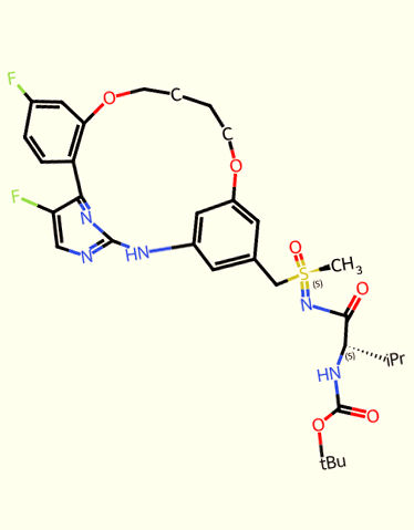 CC(C)[C@H](NC(=O)OC(C)(C)C)C(=O)N=[S@@](C)(=O)Cc1cc2cc(c1)OCCCCOc1cc(F)ccc1-c1nc(ncc1F)N2